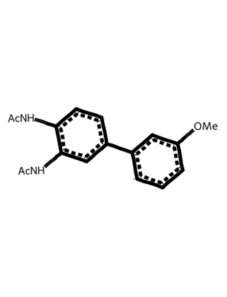 COc1cc[c]c(-c2ccc(NC(C)=O)c(NC(C)=O)c2)c1